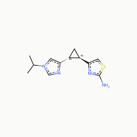 CC(C)n1cnc([C@@H]2C[C@H]2c2csc(N)n2)c1